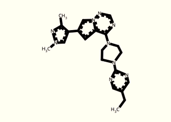 CCc1cnc(N2CCN(c3ncnn4cc(-c5cn(C)nc5C)cc34)CC2)nc1